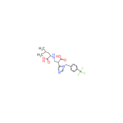 CC(C)CC(NCC(C(=O)O)c1cncn1Cc1ccc(C(F)(F)F)cc1)C(=O)O